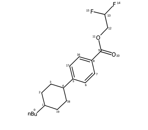 CCCCC1CCC(c2ccc(C(=O)OCC(F)F)cc2)CC1